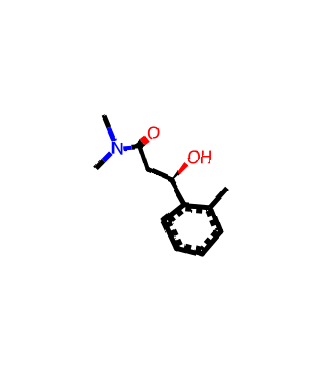 Cc1ccccc1[C@H](O)CC(=O)N(C)C